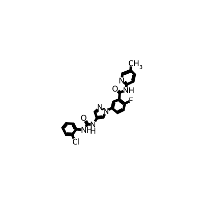 Cc1ccc(NC(=O)c2cc(-n3cc(NC(=O)Nc4ccccc4Cl)cn3)ccc2F)nc1